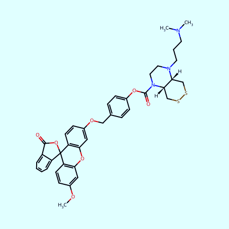 COc1ccc2c(c1)Oc1cc(OCc3ccc(OC(=O)N4CCN(CCCN(C)C)[C@@H]5CSSC[C@@H]54)cc3)ccc1C21OC(=O)c2ccccc21